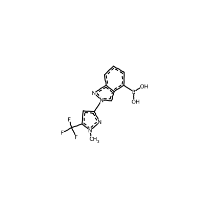 Cn1nc(-n2cc3c(B(O)O)cccc3n2)cc1C(F)(F)F